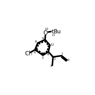 C=C[C](C)c1cc(Cl)cc(OC(C)(C)C)c1